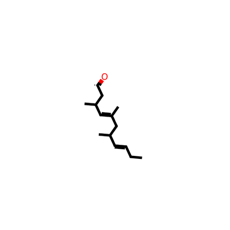 CCC=CC(C)CC(C)=CC(C)C[C]=O